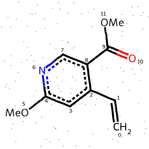 C=Cc1cc(OC)ncc1C(=O)OC